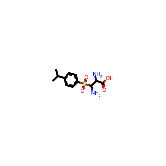 CC(C)c1ccc(S(=O)(=O)C(N)C(N)C(=O)O)cc1